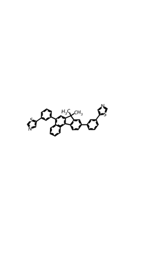 CC1(C)c2cc(-c3cccc(-c4cncs4)c3)ccc2-c2c1cc(-c1cccc(-c3cncs3)c1)c1ccccc21